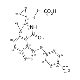 O=C(O)CCC1(C2(NC(=O)c3cccc4ccn(Cc5ccc(C(F)(F)F)cc5)c34)CC2)CC1